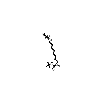 CN(CCCCCCCCN=[N+]=[N-])C(=O)OC(C)(C)C